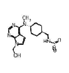 CN(c1ncnc2c1ccn2CO)[C@H]1CC[C@H](CN[SH](=O)=O)CC1